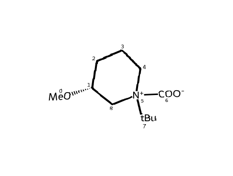 CO[C@@H]1CCC[N+](C(=O)[O-])(C(C)(C)C)C1